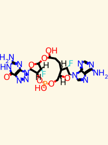 Nc1nc2c(nnn2[C@@H]2OC3OC(O)CC[C@H]4[C@H](F)[C@H](n5cnc6c(N)ncnc65)O[C@@H]4COP(O)O[C@@H]2[C@H]3F)c(=O)[nH]1